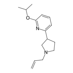 C=CCN1CCC(c2cccc(OC(C)C)n2)C1